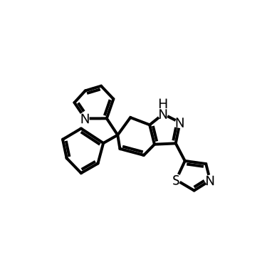 C1=CC(c2ccccc2)(c2ccccn2)Cc2[nH]nc(-c3cncs3)c21